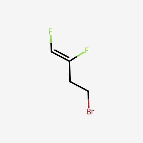 FC=C(F)CCBr